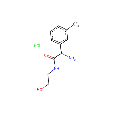 Cl.NC(C(=O)NCCO)c1cccc(C(F)(F)F)c1